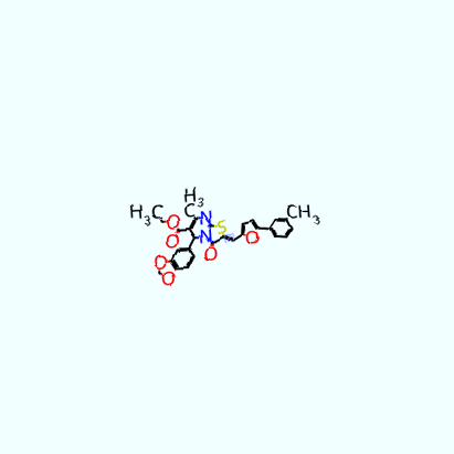 CCOC(=O)C1=C(C)N=c2s/c(=C\c3ccc(-c4cccc(C)c4)o3)c(=O)n2C1c1ccc2c(c1)OCO2